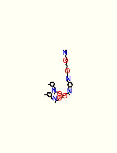 C=NCCCOCCCCOCCCN=Cc1cccc(/C=N/C(C)COC(COCC(C)N=Cc2cccc(C)c2)COCC(C)N=Cc2cccc(C)c2)c1